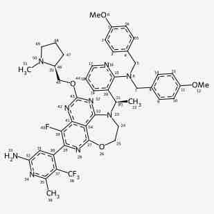 COc1ccc(CN(Cc2ccc(OC)cc2)c2ncccc2[C@@H](C)N2CCOc3nc(-c4cc(N)nc(C)c4C(F)(F)F)c(F)c4nc(OC[C@@H]5CCCN5C)nc2c34)cc1